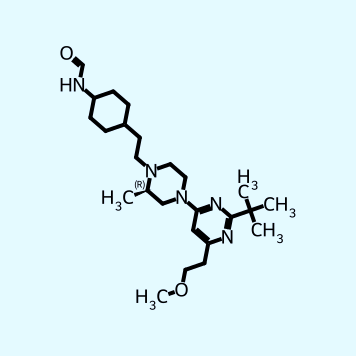 COCCc1cc(N2CCN(CCC3CCC(NC=O)CC3)[C@H](C)C2)nc(C(C)(C)C)n1